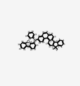 CC1(C)c2ccccc2-c2c1ccc1c2ccc2ccc3cc(N(c4ccccc4)c4cccc5c4oc4ccccc45)ccc3c21